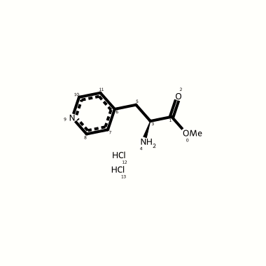 COC(=O)[C@@H](N)Cc1ccncc1.Cl.Cl